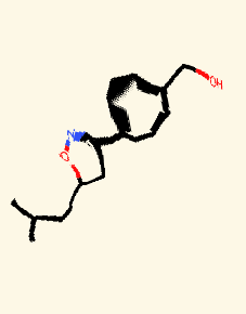 CC(C)CC1CC(c2ccc(CO)cc2)=NO1